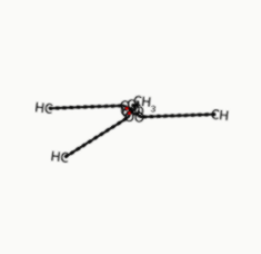 C#CC#CC#CC#CC#CC#CC#CC#CC#CC#CC#COC(=O)CC(CC(=O)OC#CC#CC#CC#CC#CC#CC#CC#CC#CC#CC#C)(OC(=O)CC)C(=O)OC#CC#CC#CC#CC#CC#CC#CC#CC#CC#CC#C